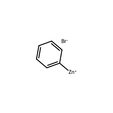 [Br-].[Zn+][c]1ccccc1